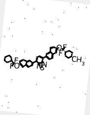 C[C@H]1CC[C@H](C(F)(F)Oc2ccc3cc(-c4ccc(-c5ccc6cc(OC(F)(F)C7CCCCC7)ccc6c5)c5nsnc45)ccc3c2)CC1